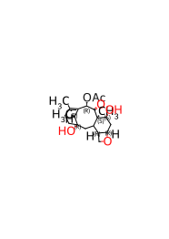 CC(=O)O[C@H]1C(=O)[C@@]2(C)C(C[C@]3(O)CCC(C)=C1[C@H]3C)[C@@H]1CO[C@@H]1C[C@@H]2O